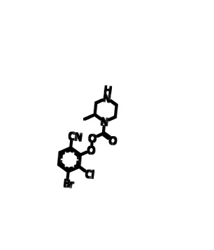 CC1CNCCN1C(=O)OOc1c(C#N)ccc(Br)c1Cl